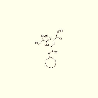 CO[C@@H](C)C(=O)N[C@@H](CCC(=O)C=N)C(=O)OC1CCCCCCC1